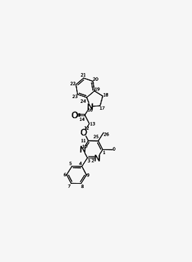 Cc1nc(-c2ccccc2)nc(OCC(=O)N2CCc3ccccc32)c1C